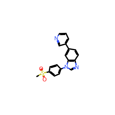 CS(=O)(=O)c1ccc(-n2cnc3ccc(-c4cccnc4)cc32)cc1